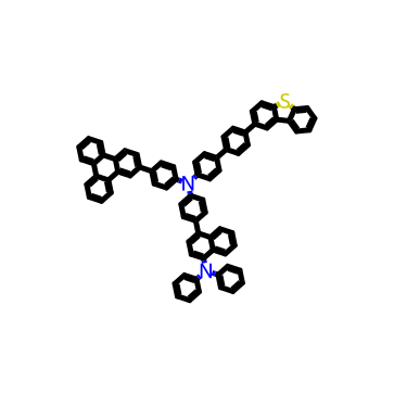 c1ccc(N(c2ccccc2)c2ccc(-c3ccc(N(c4ccc(-c5ccc(-c6ccc7sc8ccccc8c7c6)cc5)cc4)c4ccc(-c5ccc6c7ccccc7c7ccccc7c6c5)cc4)cc3)c3ccccc23)cc1